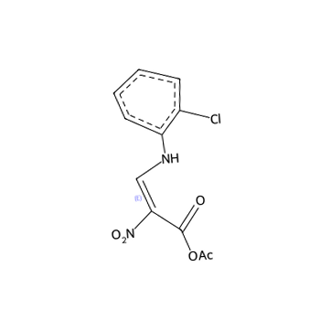 CC(=O)OC(=O)/C(=C\Nc1ccccc1Cl)[N+](=O)[O-]